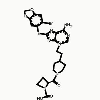 Nc1ncn(CCC2CCN(C(=O)[C@@H]3CCN3C(=O)O)CC2)c2nc(Sc3cc4c(cc3Br)OCO4)nc1-2